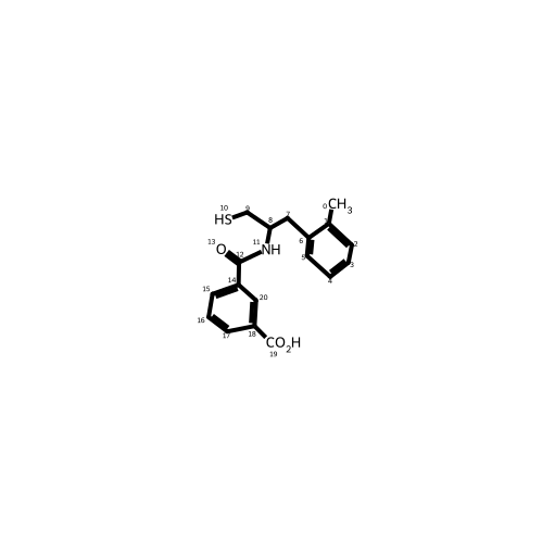 Cc1ccccc1CC(CS)NC(=O)c1cccc(C(=O)O)c1